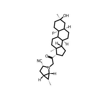 C[C@@H]1[C@@H]2C[C@H](C#N)N(CC(=O)[C@H]3CC[C@H]4[C@@H]5CC[C@@H]6C[C@](C)(O)CC[C@]6(F)C5CC[C@]34C)[C@H]12